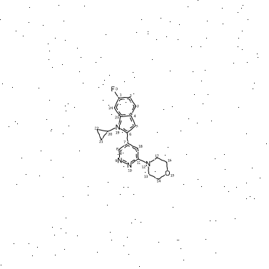 Fc1ccc2cc(-c3cnnc(N4CCOCC4)c3)n(C3CC3)c2c1